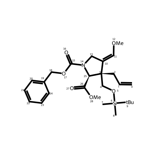 C=CC[C@]1(CO[Si](C)(C)C(C)(C)C)C(=COC)CN(C(=O)OCc2ccccc2)[C@@H]1C(=O)OC